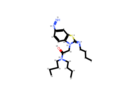 CCCCN=c1sc2cc(N=N)ccc2n1CC(=O)N(CCCC)CCCC